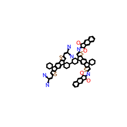 N#CC(C#N)=Cc1cc2c(s1)-c1cc3c(cc1C21CCCCC1)-c1sc(C=C(C#N)C#N)cc1C31CCCC(C2CCC3(CC2)c2cc4c(cc2-c2sc(N=c5c(=O)c6cc7ccccc7cc6c5=O)cc23)C2(CCCCC2)c2cc(N=c3c(=O)c5cc6ccccc6cc5c3=O)sc2-4)C1